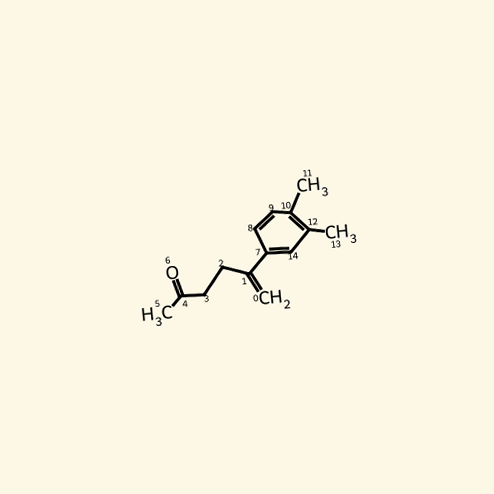 C=C(CCC(C)=O)c1ccc(C)c(C)c1